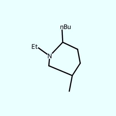 CCCCC1CCC(C)CN1CC